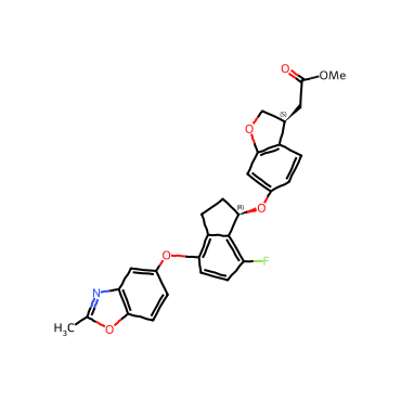 COC(=O)C[C@@H]1COc2cc(O[C@@H]3CCc4c(Oc5ccc6oc(C)nc6c5)ccc(F)c43)ccc21